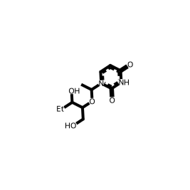 CCC(O)C(CO)OC(C)n1ccc(=O)[nH]c1=O